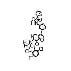 C[C@@H](Oc1c(N)ncc2c(-c3cccc(NS(=O)(=O)C4CC=CS4)c3)coc12)c1c(Cl)ccc(F)c1Cl